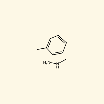 CNN.Cc1ccccc1